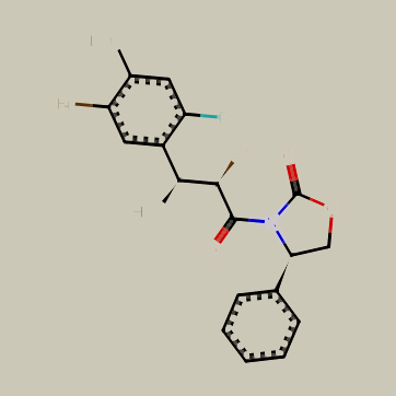 Cc1cc(F)c([C@H](C)[C@@H](Br)C(=O)N2C(=O)OC[C@H]2c2ccccc2)cc1Br